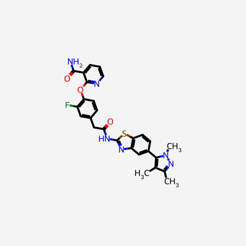 Cc1nn(C)c(-c2ccc3sc(NC(=O)Cc4ccc(Oc5ncccc5C(N)=O)c(F)c4)nc3c2)c1C